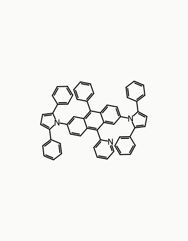 c1ccc(-c2c3cc(-n4c(-c5ccccc5)ccc4-c4ccccc4)ccc3c(-c3ccccn3)c3cc(-n4c(-c5ccccc5)ccc4-c4ccccc4)ccc23)cc1